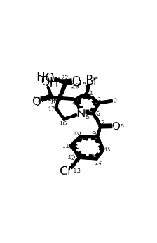 Cc1c(Br)c2n(c1C(=O)c1ccc(Cl)cc1)CCC2(C(=O)O)C(=O)O